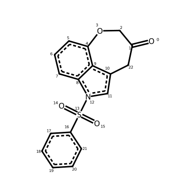 O=C1COc2cccc3c2c(cn3S(=O)(=O)c2ccccc2)C1